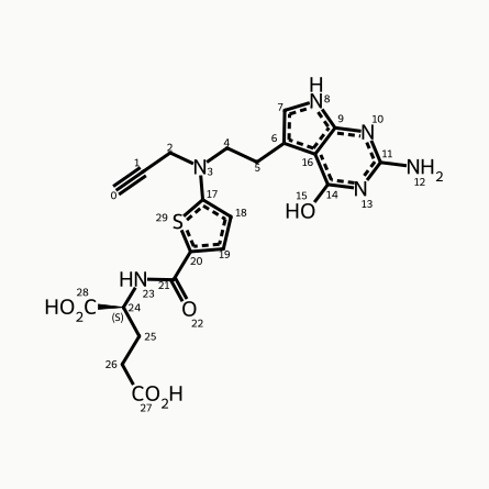 C#CCN(CCc1c[nH]c2nc(N)nc(O)c12)c1ccc(C(=O)N[C@@H](CCC(=O)O)C(=O)O)s1